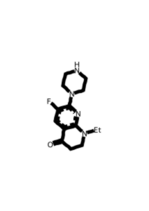 CCN1CCC(=O)c2cc(F)c(N3CCNCC3)nc21